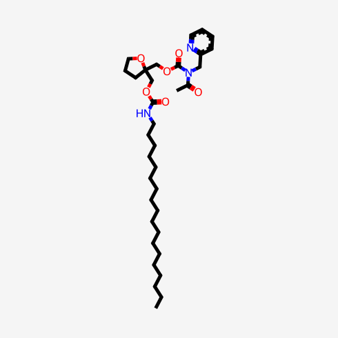 CCCCCCCCCCCCCCCCCCNC(=O)OCC1(COC(=O)N(Cc2ccccn2)C(C)=O)CCCO1